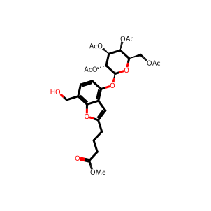 COC(=O)CCCc1cc2c(O[C@@H]3O[C@H](COC(C)=O)[C@H](OC(C)=O)[C@H](OC(C)=O)[C@H]3OC(C)=O)ccc(CO)c2o1